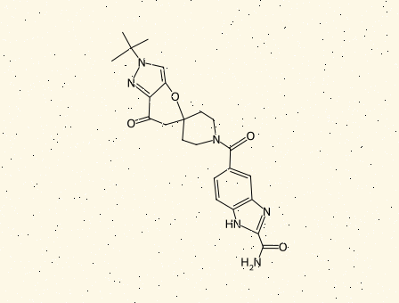 CC(C)(C)n1cc2c(n1)C(=O)CC1(CCN(C(=O)c3ccc4[nH]c(C(N)=O)nc4c3)CC1)O2